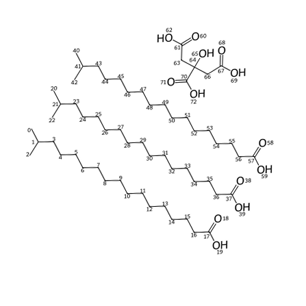 CC(C)CCCCCCCCCCCCCCC(=O)O.CC(C)CCCCCCCCCCCCCCC(=O)O.CC(C)CCCCCCCCCCCCCCC(=O)O.O=C(O)CC(O)(CC(=O)O)C(=O)O